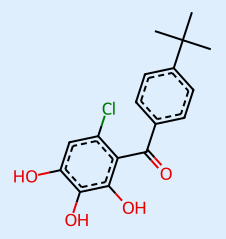 CC(C)(C)c1ccc(C(=O)c2c(Cl)cc(O)c(O)c2O)cc1